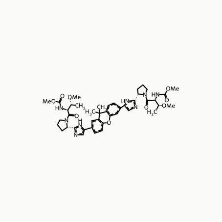 COC(=O)N[C@H](C(=O)N1CCC[C@H]1c1ncc(-c2ccc3c(c2)Oc2ccc(-c4cnc([C@@H]5CCCN5C(=O)[C@@H](NC(=O)OC)[C@@H](C)OC)[nH]4)cc2C3(C)C)[nH]1)[C@@H](C)OC